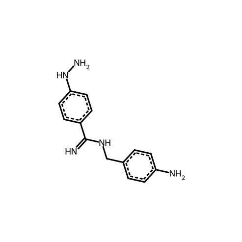 N=C(NCc1ccc(N)cc1)c1ccc(NN)cc1